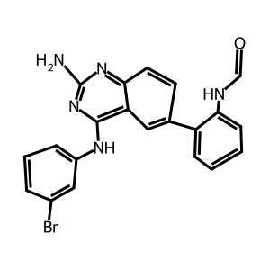 Nc1nc(Nc2cccc(Br)c2)c2cc(-c3ccccc3NC=O)ccc2n1